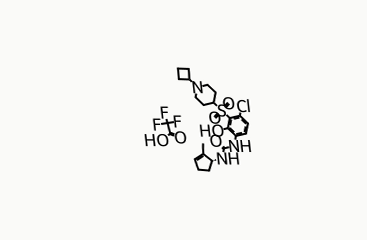 CC1=CCC[C@H]1NC(=O)Nc1ccc(Cl)c(S(=O)(=O)C2CCN(C3CCC3)CC2)c1O.O=C(O)C(F)(F)F